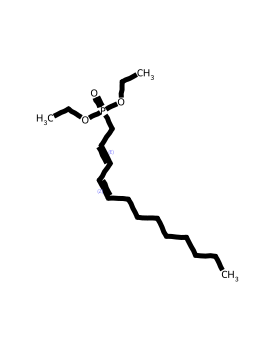 CCCCCCCC/C=C\C=C\CP(=O)(OCC)OCC